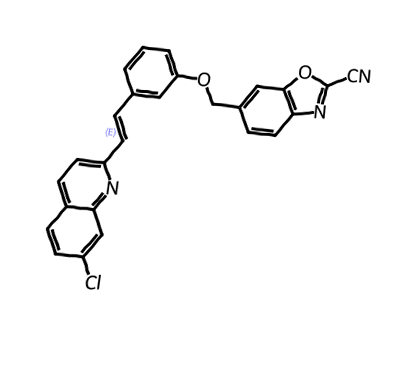 N#Cc1nc2ccc(COc3cccc(/C=C/c4ccc5ccc(Cl)cc5n4)c3)cc2o1